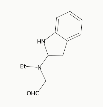 CCN(C[C]=O)c1cc2ccccc2[nH]1